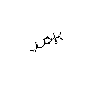 COC(=O)Cc1cn(S(=O)(=O)N(C)C)cn1